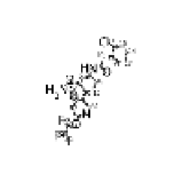 NS(=O)(=O)c1cc(NC(=O)Cc2ccccc2Cl)ccc1-c1cnc(OC(F)C(F)F)nc1